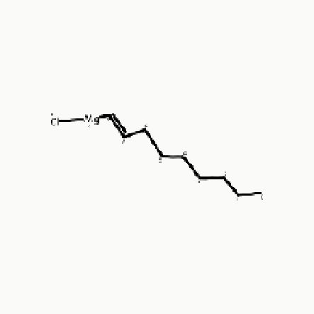 CCCCCCCC=[CH][Mg][Cl]